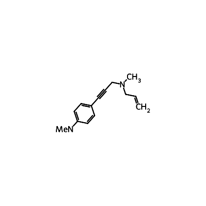 C=CCN(C)CC#Cc1ccc(NC)cc1